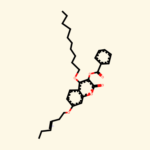 CC/C=C/CCOc1ccc2c(OCCCCCCCCCC)c(OC(=O)c3ccccc3)c(=O)oc2c1